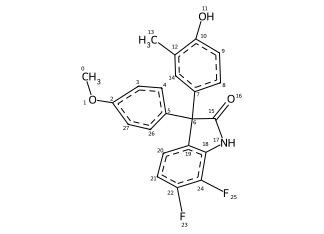 COc1ccc(C2(c3ccc(O)c(C)c3)C(=O)Nc3c2ccc(F)c3F)cc1